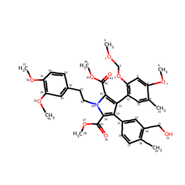 COCOc1cc(OC)c(C)cc1-c1c(-c2ccc(C)c(CO)c2)c(C(=O)OC)n(CCc2ccc(OC)c(OC)c2)c1C(=O)OC